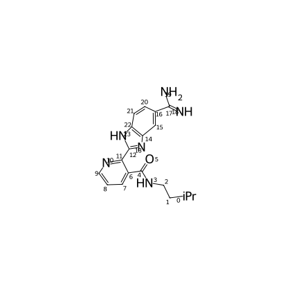 CC(C)CCNC(=O)c1cccnc1-c1nc2cc(C(=N)N)ccc2[nH]1